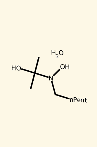 CCCCCCN(O)C(C)(C)O.O